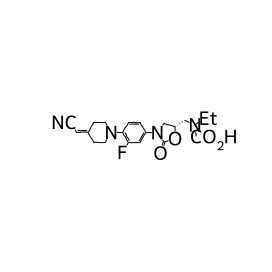 CCN(C[C@H]1CN(c2ccc(N3CCC(=CC#N)CC3)c(F)c2)C(=O)O1)C(=O)O